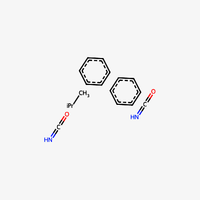 CC(C)C.N=C=O.N=C=O.c1ccccc1.c1ccccc1